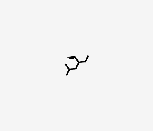 CCC([C]=O)CC(C)C